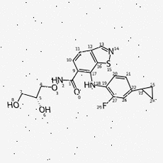 O=C(NOC[C@H](O)CO)c1ccc2cnsc2c1Nc1ccc(C2CC2)cc1F